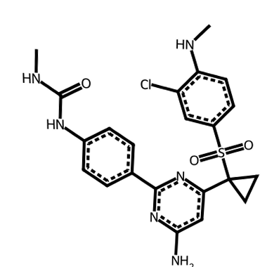 CNC(=O)Nc1ccc(-c2nc(N)cc(C3(S(=O)(=O)c4ccc(NC)c(Cl)c4)CC3)n2)cc1